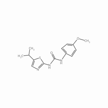 COc1ccc(NC(=O)Nc2ncc(C(C)C)s2)cc1